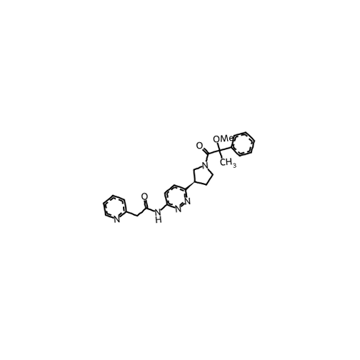 COC(C)(C(=O)N1CC[C@@H](c2ccc(NC(=O)Cc3ccccn3)nn2)C1)c1ccccc1